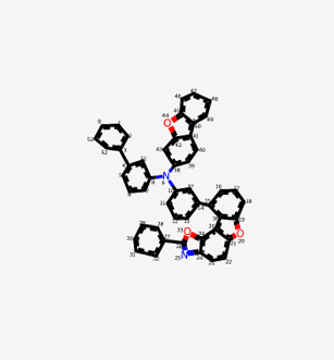 c1ccc(-c2cccc(N(c3cccc(-c4cccc5oc6ccc7nc(-c8ccccc8)oc7c6c45)c3)c3ccc4c(c3)oc3ccccc34)c2)cc1